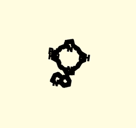 C1=Cc2cc3ccc(cc4nc(cc5ccc(cc1n2)[nH]5)C=C4)[nH]3.[Pd].c1ccc2ncccc2c1